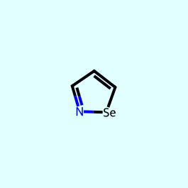 c1cn[se]c1